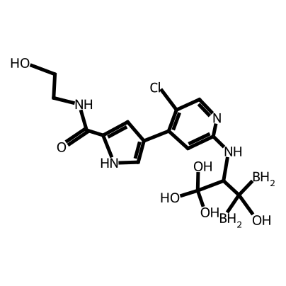 BC(B)(O)C(Nc1cc(-c2c[nH]c(C(=O)NCCO)c2)c(Cl)cn1)C(O)(O)O